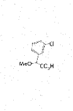 COC(C(=O)O)c1cccc(Cl)c1